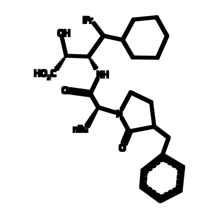 CCCC[C@@H](C(=O)N[C@@H](C(C(C)C)C1CCCCC1)[C@@H](O)C(=O)O)N1CCC(Cc2ccccc2)C1=O